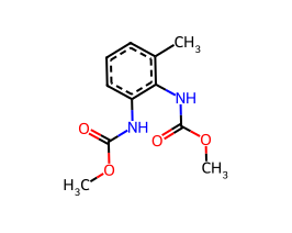 COC(=O)Nc1cccc(C)c1NC(=O)OC